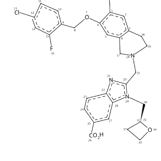 Cc1cc2c(cc1OCc1ccc(Cl)cc1F)CN(Cc1nc3ccc(C(=O)O)cc3n1C[C@@H]1CCO1)CC2